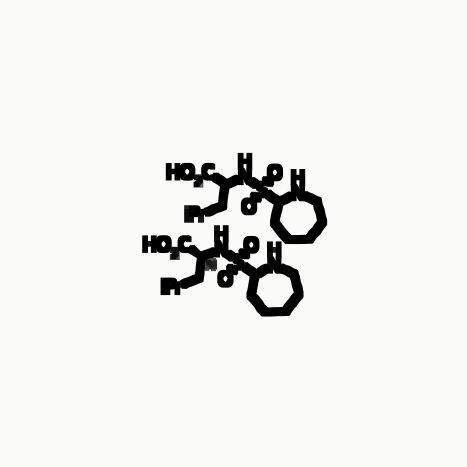 CC(C)CC(NS(=O)(=O)C1CCCCCN1)C(=O)O.CC(C)C[C@H](NS(=O)(=O)C1CCCCCN1)C(=O)O